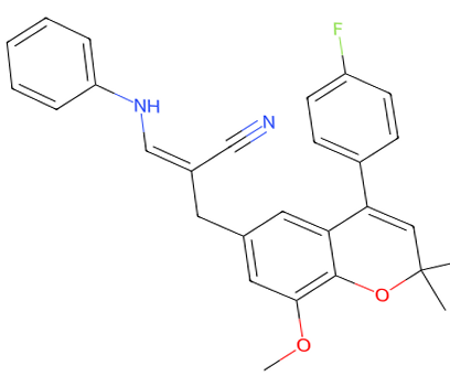 COc1cc(CC(C#N)=CNc2ccccc2)cc2c1OC(C)(C)C=C2c1ccc(F)cc1